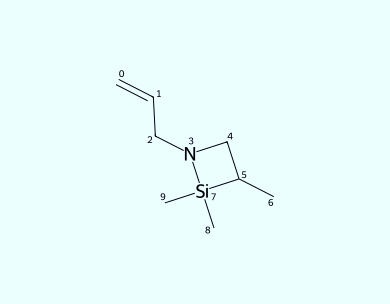 C=CCN1CC(C)[Si]1(C)C